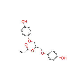 C=CC(=O)OC(COc1ccc(O)cc1)COc1ccc(O)cc1